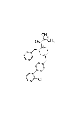 CN(C)C(=O)N1CCN(Cc2ccc(-c3ccccc3Cl)cc2)C[C@H]1Cc1ccccc1